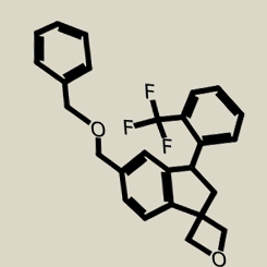 FC(F)(F)c1ccccc1C1CC2(COC2)c2ccc(COCc3ccccc3)cc21